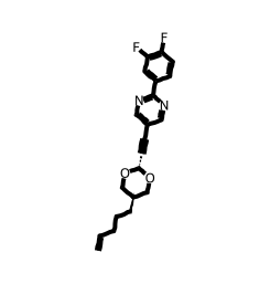 C=CCCC[C@H]1CO[C@H](C#Cc2cnc(-c3ccc(F)c(F)c3)nc2)OC1